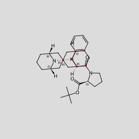 CC(C)(C)OC(=O)[C@@H]1CCCN1C(=O)CN(c1ccccc1)[C@H]1C[C@H]2CCC[C@@H](C1)N2[C@H]1C[C@@H]2CCC[C@@H](C2)C1